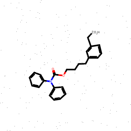 O=C(O)Cc1cccc(CCCCOC(=O)N(c2ccccc2)c2ccccc2)c1